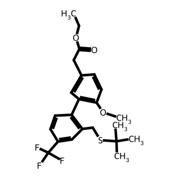 CCOC(=O)Cc1ccc(OC)c(-c2ccc(C(F)(F)F)cc2CSC(C)(C)C)c1